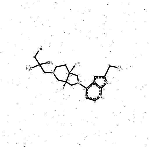 CC(C)(CO)CN1CC[C@@H]2CN(c3ncnc4sc(CC(F)(F)F)cc34)C[C@@H]2C1